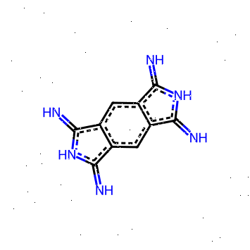 N=c1[nH]c(=N)c2cc3c(=N)[nH]c(=N)c3cc12